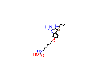 CCCc1nc2c(N)nc3cc(OCCCCCCNC(=O)O)ccc3c2s1